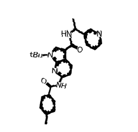 Cc1ccc(C(=O)Nc2ccc3c(C(=O)NC(C)c4cccnc4)cn(C(C)(C)C)c3n2)cc1